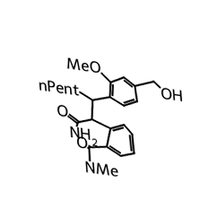 CCCCCC(c1ccc(CO)cc1OC)C(C(N)=O)c1ccccc1C(=O)NC